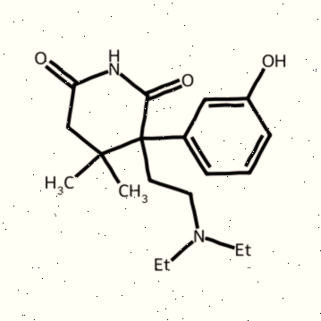 CCN(CC)CCC1(c2cccc(O)c2)C(=O)NC(=O)CC1(C)C